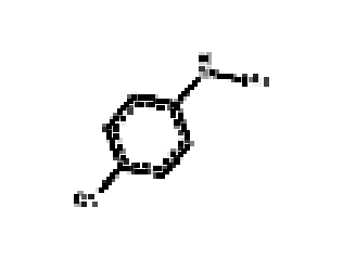 CC(C)(C)Nc1ccc(N=O)cc1